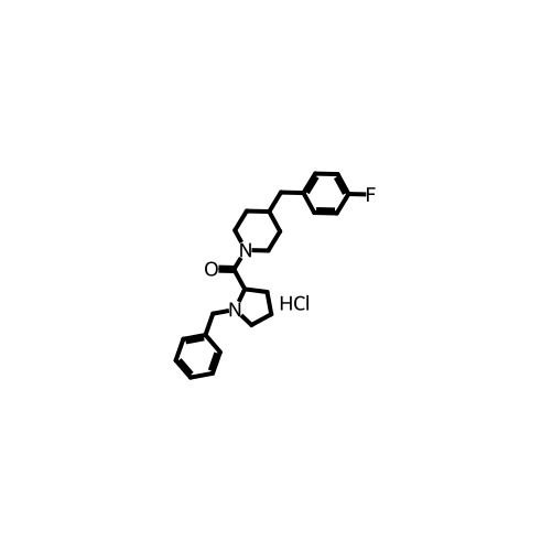 Cl.O=C(C1CCCN1Cc1ccccc1)N1CCC(Cc2ccc(F)cc2)CC1